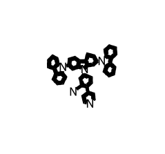 N#Cc1cc(-n2c3cc(-n4c5ccccc5c5ccccc54)ccc3c3ccc(-n4c5ccccc5c5ccccc54)cc32)ccc1-c1ccncc1